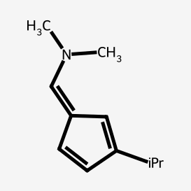 CC(C)C1=CC(=CN(C)C)C=C1